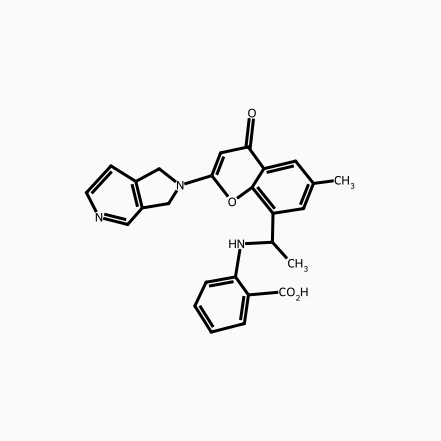 Cc1cc(C(C)Nc2ccccc2C(=O)O)c2oc(N3Cc4ccncc4C3)cc(=O)c2c1